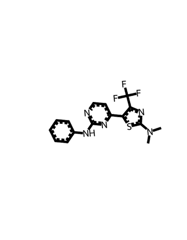 CN(C)c1nc(C(F)(F)F)c(-c2ccnc(Nc3ccccc3)n2)s1